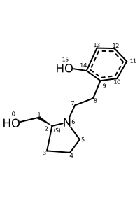 OC[C@@H]1CCCN1CCc1ccccc1O